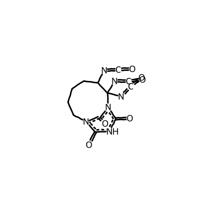 O=C=NC1CCCCn2c(=O)[nH]c(=O)n(c2=O)C1(N=C=O)N=C=O